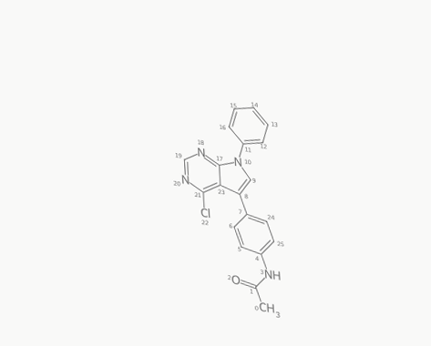 CC(=O)Nc1ccc(-c2cn(-c3ccccc3)c3ncnc(Cl)c23)cc1